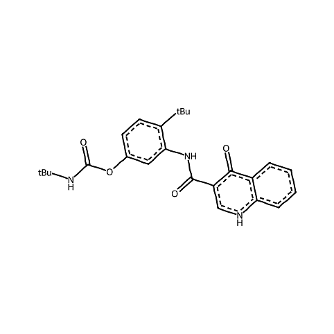 CC(C)(C)NC(=O)Oc1ccc(C(C)(C)C)c(NC(=O)c2c[nH]c3ccccc3c2=O)c1